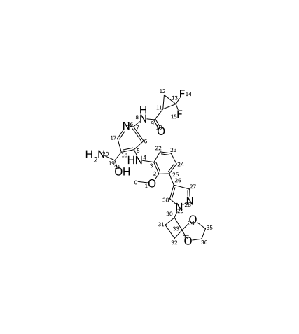 COc1c(Nc2cc(NC(=O)C3CC3(F)F)ncc2C(N)O)cccc1-c1cnn(C2CCC23OCCO3)c1